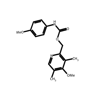 COc1ccc(NC(=O)OCc2ncc(C)c(OC)c2C)cc1